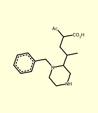 CC(=O)C(CC(C)C1CNCCN1Cc1ccccc1)C(=O)O